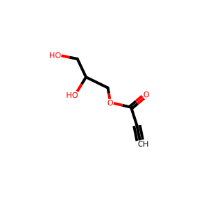 C#CC(=O)OCC(O)CO